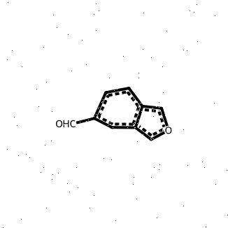 O=Cc1ccc2cocc2c1